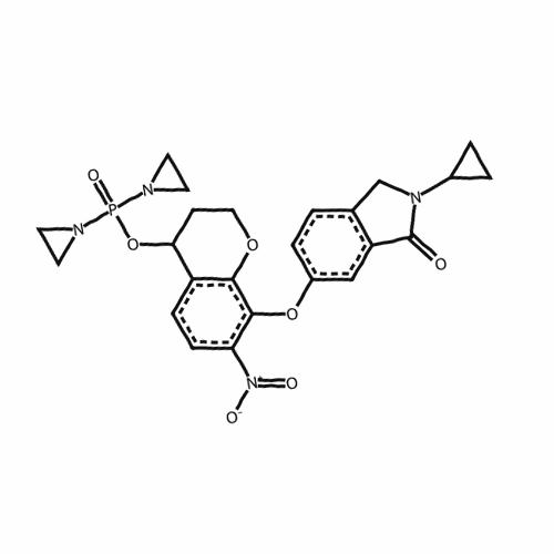 O=C1c2cc(Oc3c([N+](=O)[O-])ccc4c3OCCC4OP(=O)(N3CC3)N3CC3)ccc2CN1C1CC1